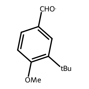 COc1ccc([C]=O)cc1C(C)(C)C